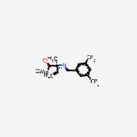 C=C[C@](C)(N=Cc1cc(C(F)(F)F)cc(C(F)(F)F)c1)C(=O)OC